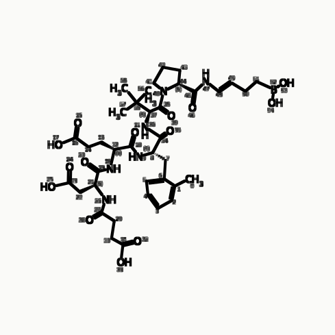 Cc1ccccc1C[C@H](NC(=O)[C@H](CCC(=O)O)NC(=O)[C@H](CC(=O)O)NC(=O)CCC(=O)O)C(=O)N[C@H](C(=O)N1CCC[C@H]1C(=O)NC=CCCB(O)O)C(C)(C)C